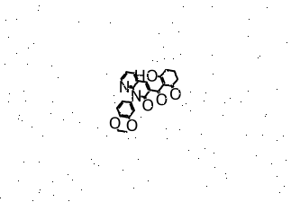 O=C1CCCC(O)=C1C(=O)c1cc2cccnc2n(-c2ccc3c(c2)OCCO3)c1=O